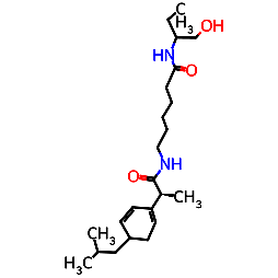 CCC(CO)NC(=O)CCCCCNC(=O)[C@@H](C)C1=CCC(CC(C)C)C=C1